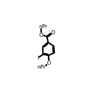 CCCOC(=O)c1ccc(OCCC)c(I)c1